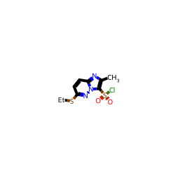 CCSc1ccc2nc(C)c(S(=O)(=O)Cl)n2n1